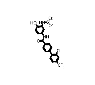 CC[S+]([O-])Nc1cc(NC(=O)c2ccc(-c3ccc(C(F)(F)F)cc3Cl)cc2)ccc1O